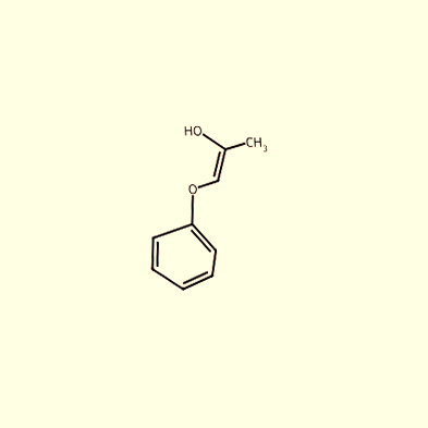 CC(O)=COc1ccccc1